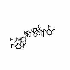 N[C@H]1C[C@@H](n2ncc(N3CCC(O)(C(=O)NCc4cccc(F)c4F)C3=O)n2)CO[C@@H]1c1cc(F)ccc1F